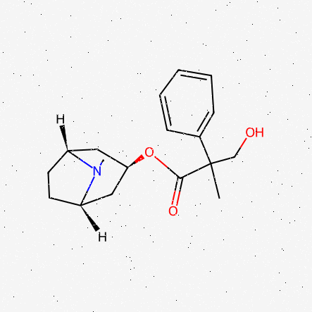 CN1[C@@H]2CC[C@H]1C[C@H](OC(=O)C(C)(CO)c1ccccc1)C2